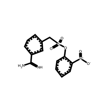 N=C(N)c1cccc(CS(=O)(=O)Oc2ccccc2[N+](=O)[O-])c1